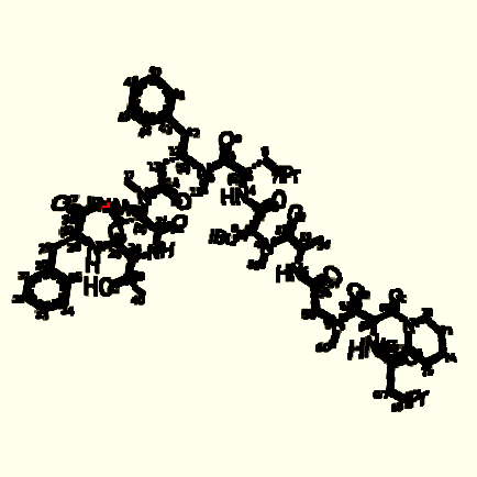 CC[C@H](C)[C@@H](C(=O)N[C@@H](CC(C)C)C(=O)N(C)[C@H](CC(=O)N(C)[C@@H](CC(C)C)C(=O)N[C@H](C(=O)N[C@@H](Cc1ccccc1)C(=O)NC)[C@@H](C)O)Cc1ccccc1)N(C)C(=O)C(C)NC(=O)CN(C)C(=O)[C@H](NC(=O)CC(C)C)C(=O)N1CCCCC1